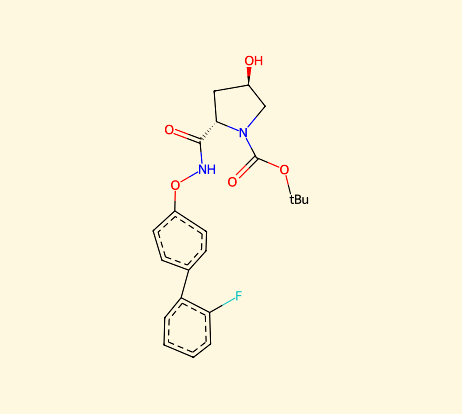 CC(C)(C)OC(=O)N1C[C@H](O)C[C@H]1C(=O)NOc1ccc(-c2ccccc2F)cc1